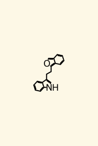 c1ccc2c(CCc3c[nH]c4ccccc34)occ2c1